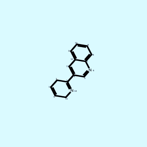 C1=CCC(c2cnc3ccccc3c2)=NC1